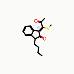 CCCCC1C(=O)/C(=C(\SC)C(C)=O)c2ccccc21